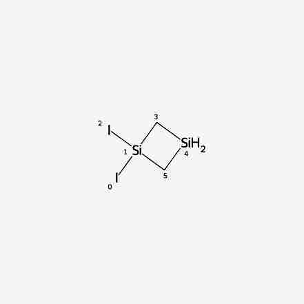 I[Si]1(I)C[SiH2]C1